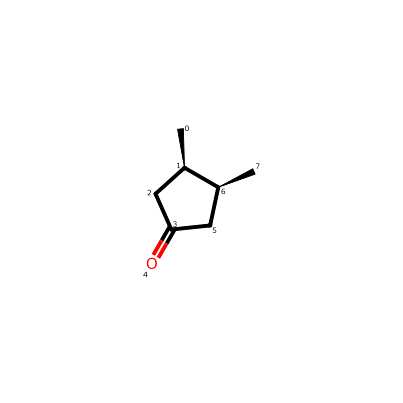 C[C@@H]1CC(=O)C[C@@H]1C